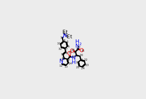 CCN(CC)Cc1ccc(C=Cc2ncccc2C(=O)NC(Cc2ccccc2)C(=O)C(N)=O)cc1